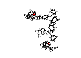 CC(C)(C)c1ccc([S+](c2ccccc2)c2ccccc2)cc1.CC(C)(C)c1ccc([S+](c2ccccc2)c2ccccc2)cc1.O=S(=O)([O-])C(F)(C(F)(F)F)S(=O)(=O)O.O=S(=O)([O-])C(F)(C(F)(F)F)S(=O)(=O)O